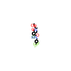 CC(=O)OCC(C)n1ccc2c(C(=O)NCc3ccc(C(F)(F)F)c(F)c3)c(Cl)ccc2c1=O